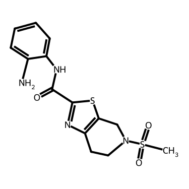 CS(=O)(=O)N1CCc2nc(C(=O)Nc3ccccc3N)sc2C1